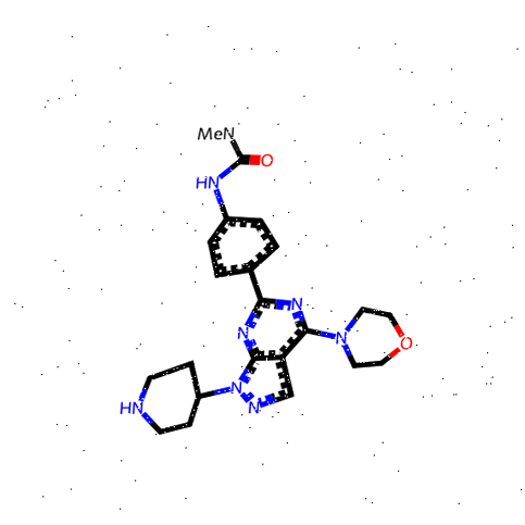 CNC(=O)Nc1ccc(-c2nc(N3CCOCC3)c3cnn(C4CCNCC4)c3n2)cc1